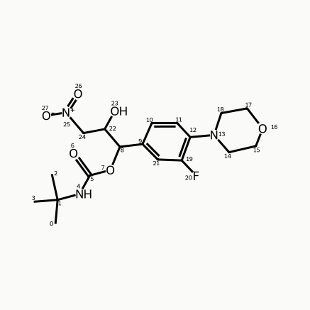 CC(C)(C)NC(=O)OC(c1ccc(N2CCOCC2)c(F)c1)C(O)C[N+](=O)[O-]